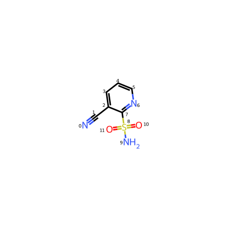 N#Cc1cccnc1S(N)(=O)=O